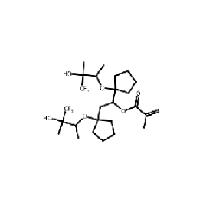 C=C(C)C(=O)OC(CC1(OC(C)C(C)(O)C(F)(F)F)CCCC1)C1(OC(C)C(C)(O)C(F)(F)F)CCCC1